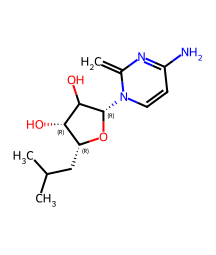 C=C1N=C(N)C=CN1[C@@H]1O[C@H](CC(C)C)[C@H](O)C1O